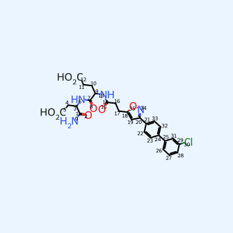 NC(=O)C(CC(=O)O)NC(=O)C(CCC(=O)O)NC(=O)CCc1cc(-c2ccc(-c3cccc(Cl)c3)cc2)no1